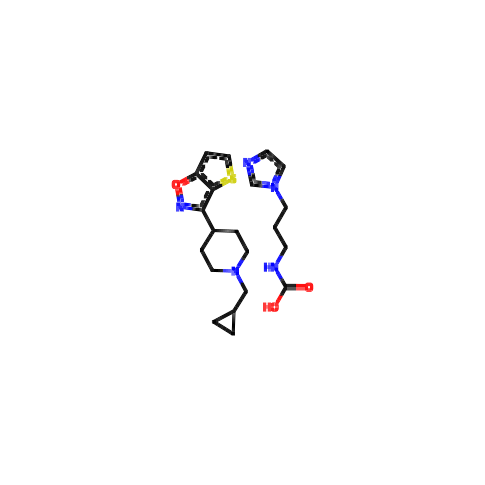 O=C(O)NCCCn1ccnc1.c1cc2onc(C3CCN(CC4CC4)CC3)c2s1